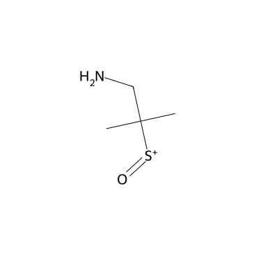 CC(C)(CN)[S+]=O